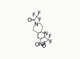 O=C(N1CCc2cc([N+](=O)[O-])c(C(F)(F)F)nc2CC1)C(F)(F)F